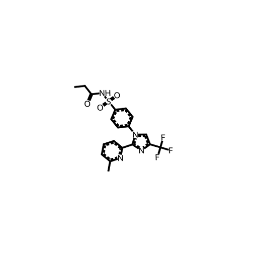 CCC(=O)NS(=O)(=O)c1ccc(-n2cc(C(F)(F)F)nc2-c2cccc(C)n2)cc1